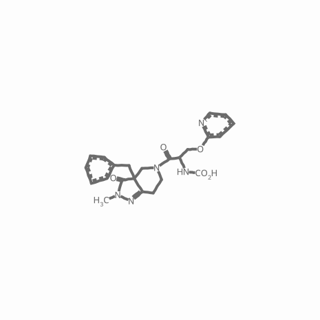 CN1N=C2CCN(C(=O)C(COc3ccccn3)NC(=O)O)CC2(Cc2ccccc2)C1=O